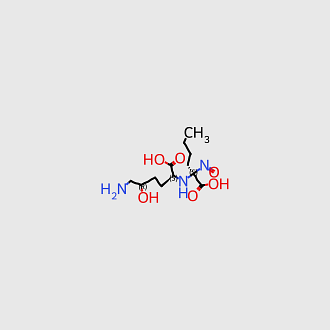 CCCC[C@@](N=O)(N[C@@H](CC[C@@H](O)CN)C(=O)O)C(=O)O